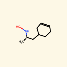 C[C@H](CC1CC=CCC1)NO